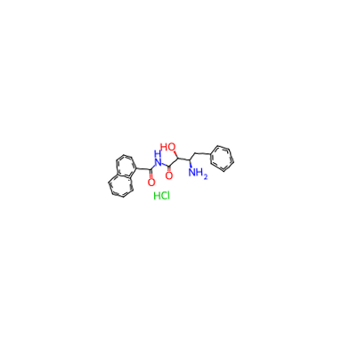 Cl.N[C@H](Cc1ccccc1)[C@H](O)C(=O)NC(=O)c1cccc2ccccc12